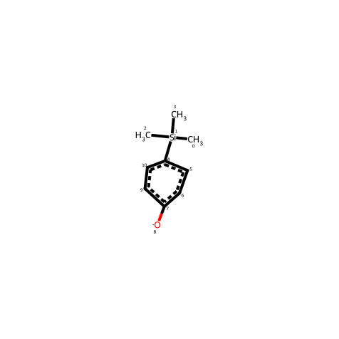 C[Si](C)(C)c1ccc([O])cc1